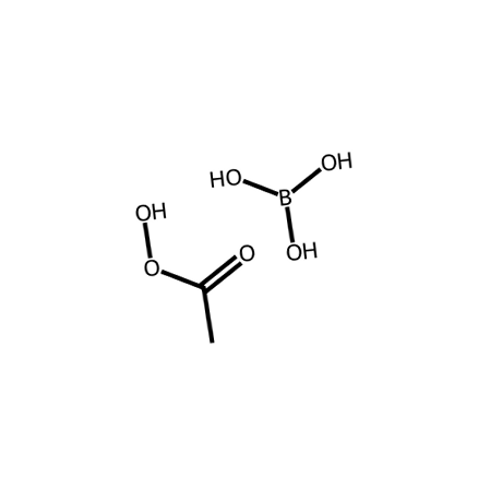 CC(=O)OO.OB(O)O